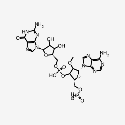 COC1C(OP(=O)(O)OC[C@H]2O[C@@H](n3cnc4c(=O)[nH]c(N)nc43)C(O)C2O)[C@@H](CO[PH](=O)O)O[C@H]1n1cnc2c(N)ncnc21